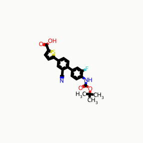 CC(C)(C)OC(=O)Nc1ccc(-c2ccc(-c3ccc(C(=O)O)s3)cc2C#N)cc1F